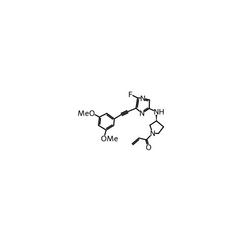 C=CC(=O)N1CC[C@H](Nc2cnc(F)c(C#Cc3cc(OC)cc(OC)c3)n2)C1